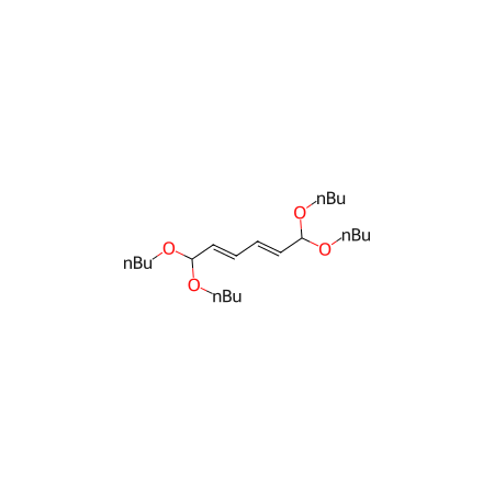 CCCCOC(C=CC=CC(OCCCC)OCCCC)OCCCC